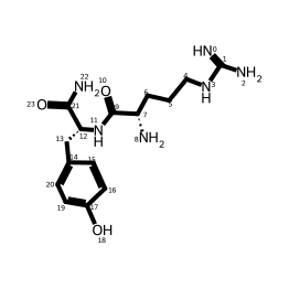 N=C(N)NCCC[C@H](N)C(=O)N[C@H](Cc1ccc(O)cc1)C(N)=O